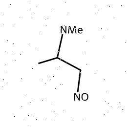 CNC(C)CN=O